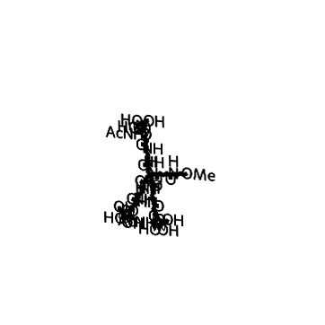 COCCCNC(=O)CCCC(=O)NC(CCC(=O)NCCCNC(=O)CCO[C@@H]1OC(CO)[C@H](O)[C@H](O)C1C)(CCC(=O)NCCCNC(=O)CCO[C@@H]1OC(CO)[C@H](O)[C@H](O)C1NC(C)=O)CCC(=O)NCCCNC(=O)CCO[C@@H]1OC(CO)[C@H](O)[C@H](O)C1NC(C)=O